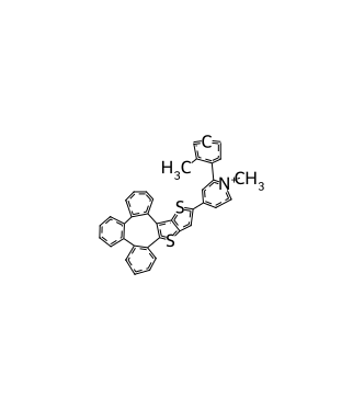 Cc1ccccc1-c1cc(-c2cc3sc4c(c3s2)-c2ccccc2-c2ccccc2-c2ccccc2-4)cc[n+]1C